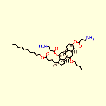 CCCCCCCCCCOC(=O)CC[C@@H](C)[C@H]1CC[C@H]2[C@@H]3[C@H](OCCCC)C[C@@H]4C[C@H](OC(=O)CCN)CC[C@]4(C)[C@H]3C[C@H](OC(=O)CCN)[C@]12C